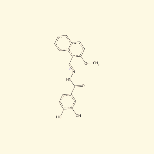 COc1ccc2ccccc2c1/C=N/NC(=O)c1ccc(O)c(O)c1